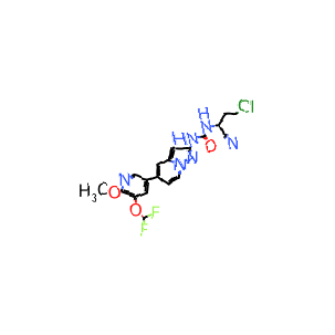 COc1ncc(-c2ccn3nc(NC(=O)NC(C#N)CCCl)cc3c2)cc1OC(F)F